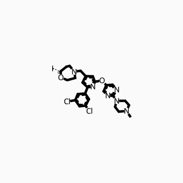 CN1CCN(c2ncc(Oc3cc(CN4CCO[C@H](I)CC4)cc(-c4cc(Cl)cc(Cl)c4)n3)cn2)CC1